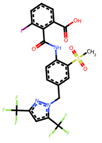 CS(=O)(=O)c1cc(Cn2nc(C(F)(F)F)cc2C(F)(F)F)ccc1NC(=O)c1c(I)cccc1C(=O)O